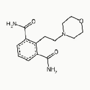 NC(=O)c1cccc(C(N)=O)c1CCN1CCOCC1